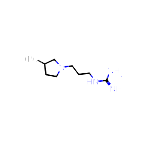 CC(C)(C)C1CCN(CCCNC(=N)N)C1